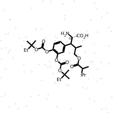 CCC(C)(C)OC(=O)Oc1ccc(C(C(C)COC(=O)C(C)C(C)C)[C@H](N)C(=O)O)cc1OC(=O)OC(C)(C)CC